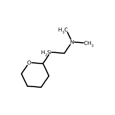 CN(C)C[SiH2]C1CCCCO1